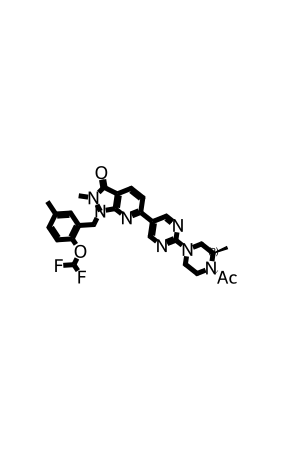 CC(=O)N1CCN(c2ncc(-c3ccc4c(=O)n(C)n(Cc5cc(C)ccc5OC(F)F)c4n3)cn2)C[C@H]1C